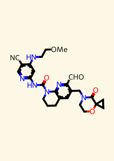 COCCNc1cc(NC(=O)N2CCCc3cc(CN4CCOC5(CC5)C4=O)c(C=O)nc32)ncc1C#N